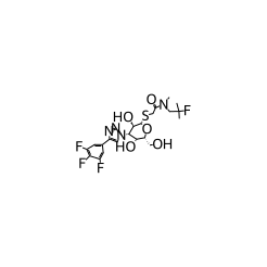 CN(CC(C)(C)F)C(=O)CS[C@@H]1O[C@H](CO)[C@H](O)[C@H](n2cc(-c3cc(F)c(F)c(F)c3)nn2)[C@H]1O